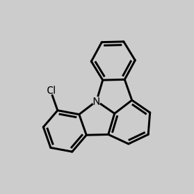 Clc1cccc2c3cccc4c5ccccc5n(c12)c43